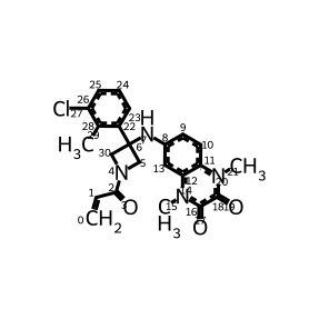 C=CC(=O)N1CC(Nc2ccc3c(c2)n(C)c(=O)c(=O)n3C)(c2cccc(Cl)c2C)C1